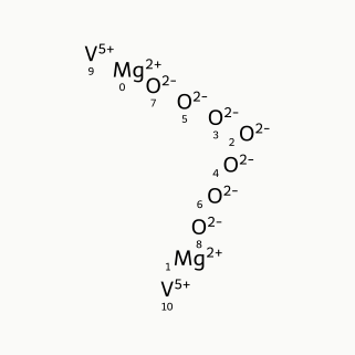 [Mg+2].[Mg+2].[O-2].[O-2].[O-2].[O-2].[O-2].[O-2].[O-2].[V+5].[V+5]